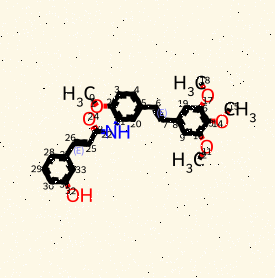 COc1ccc(/C=C/c2cc(OC)c(OC)c(OC)c2)cc1NC(=O)/C=C/c1cccc(O)c1